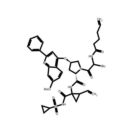 C=CCCCC(=O)NC(C(=O)N1C[C@H](Oc2cc(-c3ccccc3)nc3cc(OC)ccc23)C[C@H]1C(=O)NC1(C(=O)NS(=O)(=O)C2CC2)CC1C=C)C(C)(C)C